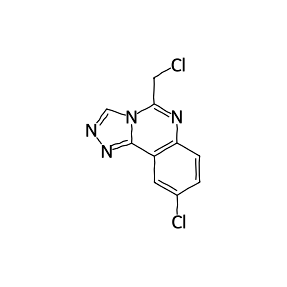 ClCc1nc2ccc(Cl)cc2c2nncn12